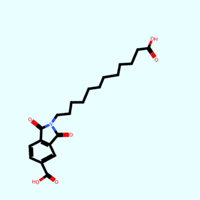 O=C(O)CCCCCCCCCCCN1C(=O)c2ccc(C(=O)O)cc2C1=O